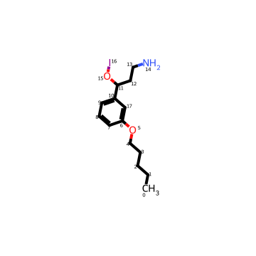 CCCCCOc1cccc(C(CCN)OI)c1